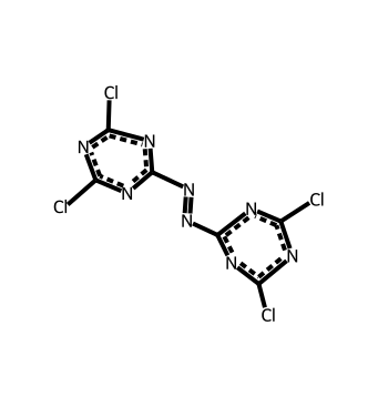 Clc1nc(Cl)nc(/N=N/c2nc(Cl)nc(Cl)n2)n1